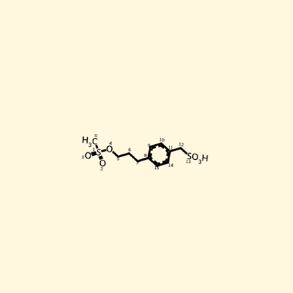 CS(=O)(=O)OCCCc1ccc(CS(=O)(=O)O)cc1